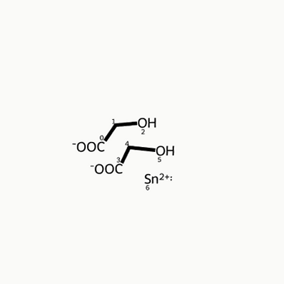 O=C([O-])CO.O=C([O-])CO.[Sn+2]